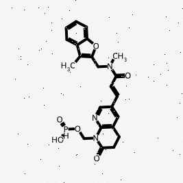 Cc1c(CN(C)C(=O)/C=C/c2cnc3c(c2)CCC(=O)N3CO[PH](=O)O)oc2ccccc12